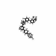 Cc1ccc(-c2cccc(C(F)(F)F)c2)cc1-n1cc(-c2cncc(C3=CC=C(N4CCN(C)CC4)CC3)c2)cn1